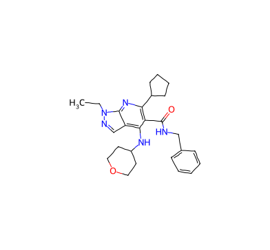 CCn1ncc2c(NC3CCOCC3)c(C(=O)NCc3ccccc3)c(C3CCCC3)nc21